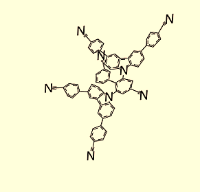 N#Cc1ccc(-c2ccc3c(c2)c2cc(-c4ccc(C#N)cc4)ccc2n3-c2cc(C#N)cc(-n3c4ccc(-c5ccc(C#N)cc5)cc4c4cc(-c5ccc(C#N)cc5)ccc43)c2-c2cccc(C#N)c2)cc1